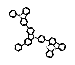 c1ccc(-c2ccc3c(c2)c2cc(-c4ccc5c(c4)c4ccccc4n5-c4ccccc4)ccc2n3-c2ccc(-c3ccc4c5ccccc5n5c4c3Oc3ccccc3-5)cc2)cc1